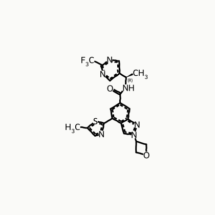 Cc1cnc(-c2cc(C(=O)N[C@H](C)c3cnc(C(F)(F)F)nc3)cc3nn(C4COC4)cc23)s1